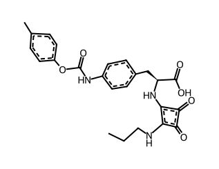 CCCNc1c(N[C@@H](Cc2ccc(NC(=O)Oc3ccc(C)cc3)cc2)C(=O)O)c(=O)c1=O